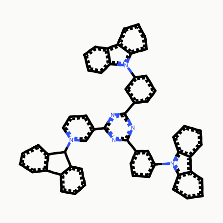 c1cc(-c2nc(-c3cccc(-n4c5ccccc5c5ccccc54)c3)nc(-c3ccc[n+](C4c5ccccc5-c5ccccc54)c3)n2)cc(-n2c3ccccc3c3ccccc32)c1